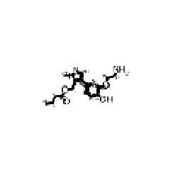 CCCC(=O)OCc1c(-c2ccc(O)c(OCCN)n2)cnn1C